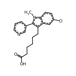 Cn1c(-c2cccnc2)c(CCCCCC(=O)O)c2cc(Cl)ccc21